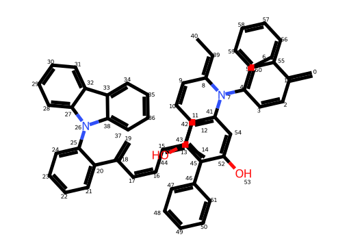 C=C(/C=C\C(=C/C)N(C(/C=C\C(C)/C(C)=C/C=C\C(=C)c1ccccc1-n1c2ccccc2c2ccccc21)=C/C)c1cc(O)c(-c2ccccc2)c(O)c1)c1ccccc1